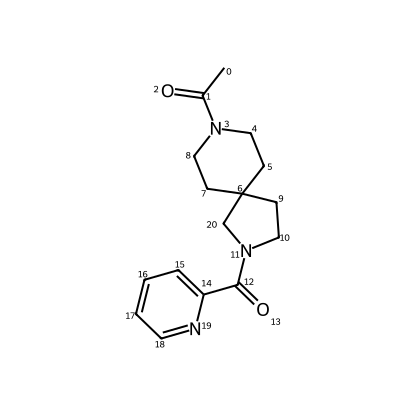 CC(=O)N1CCC2(CC1)CCN(C(=O)c1ccccn1)C2